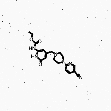 CCOC(=O)Nc1cc(CN2CCN(c3ccc(C#N)cn3)CC2)cc(=O)[nH]1